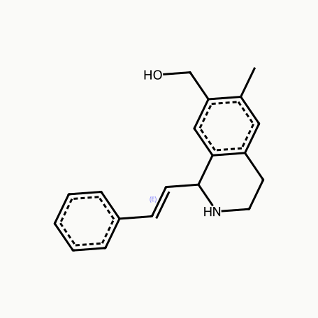 Cc1cc2c(cc1CO)C(/C=C/c1ccccc1)NCC2